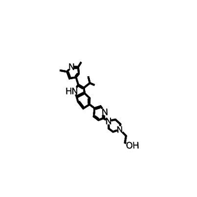 Cc1cc(-c2[nH]c3ccc(-c4ccc(N5CCN(CCO)CC5)nc4)cc3c2C(C)C)cc(C)n1